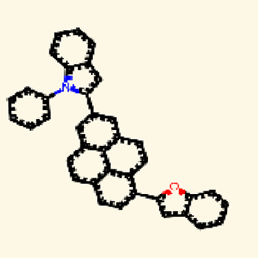 c1ccc(-n2c(-c3cc4ccc5ccc(-c6cc7ccccc7o6)c6ccc(c3)c4c56)cc3ccccc32)cc1